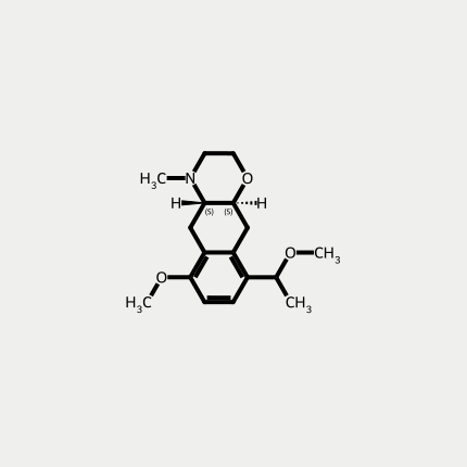 COc1ccc(C(C)OC)c2c1C[C@H]1[C@H](C2)OCCN1C